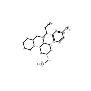 CC(C)CCN(CC1CCCCO1)[C@@H]1CC[C@@H](CC(=O)O)C[C@H]1c1ccc(C(F)(F)F)cc1